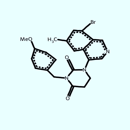 COc1ccc(CN2C(=O)CCN(c3cncc4c(Br)cc(C)cc34)C2=O)cc1